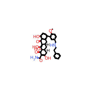 COc1ccc(CNCCc2ccccc2)cc1-c1ccc(O)c2c1C[C@H]1C[C@H]3CC(O)=C(C(N)=O)C(=O)[C@@]3(O)C(O)=C1C2=O